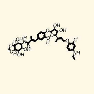 CCNc1ccc(OC/C=C(\C)[C@H]2O[C@@H](Oc3ccc(/C=C(\C)C(=O)N[C@@H]4[C@H](O)[C@@H](O)[C@H]5OCO[C@H]5[C@@H]4O)cc3O)[C@@H](O)[C@@H]2O)c(Cl)c1